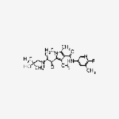 Cc1cc(NC(=O)c2c(C)c(C(=O)C(=O)NCC(C)(C)O)n(C)c2C)cnc1F